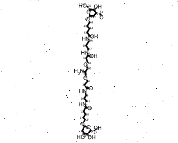 NC(COCCC(=O)NCCCNC(=O)CCCCO[C@H]1C[C@@H](O)[C@@H](O)[C@@H](CO)O1)COCCC(O)NCCCNC(O)CCCCO[C@H]1C[C@@H](C=O)[C@@H](O)[C@@H](CO)O1